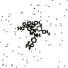 Cc1cc2c(cc1C(=O)O)nc(Nc1ccc(OC(F)(F)F)cc1)n2[C@@H]1C[C@H](C)CC[C@H]1C(C)C